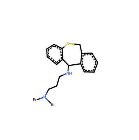 CCN(CC)CCCNC1c2ccccc2CSc2ccccc21